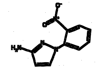 Nc1ccn(-c2ccccc2[N+](=O)[O-])n1